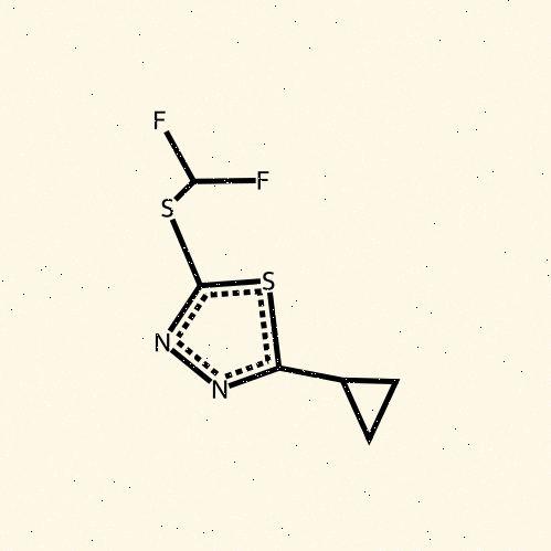 FC(F)Sc1nnc(C2CC2)s1